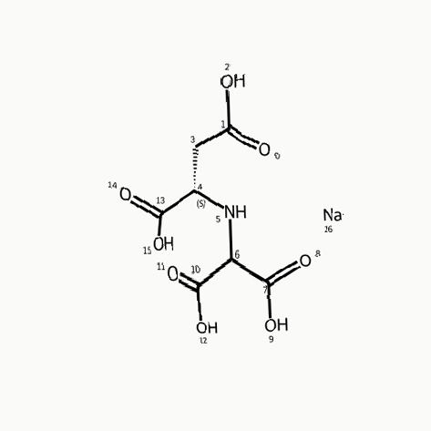 O=C(O)C[C@H](NC(C(=O)O)C(=O)O)C(=O)O.[Na]